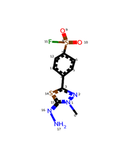 Cn1nc(-c2ccc(S(=O)(=O)F)cc2)s/c1=N/N